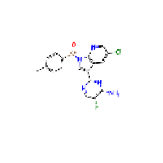 Cc1ccc([S+]([O-])n2cc(-c3ncc(F)c(N)n3)c3cc(Cl)cnc32)cc1